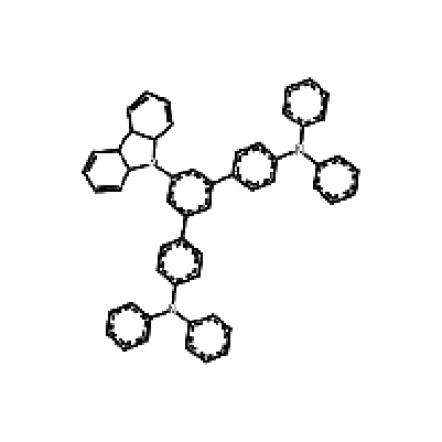 C1=CC2C3C=CC=CC3N(c3cc(-c4ccc(N(c5ccccc5)c5ccccc5)cc4)cc(-c4ccc(N(c5ccccc5)c5ccccc5)cc4)c3)C2C=C1